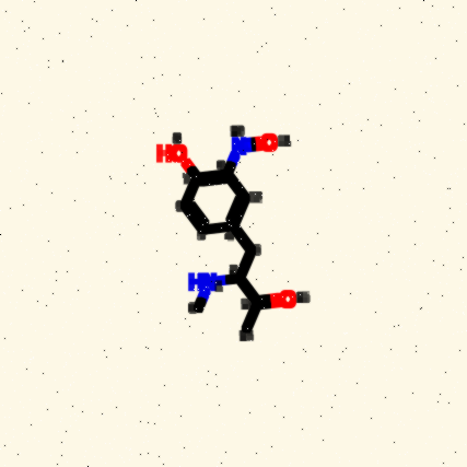 CNC(Cc1ccc(O)c(N=O)c1)C(C)=O